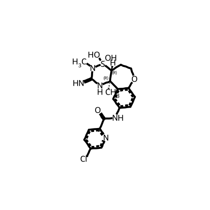 CN1C(=N)N[C@]2(C)c3cc(NC(=O)c4ccc(Cl)cn4)ccc3OCC[C@H]2S1(O)O